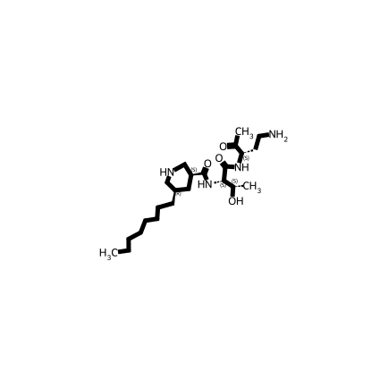 CCCCCCCC[C@H]1CNC[C@@H](C(=O)N[C@H](C(=O)N[C@@H](CCN)C(C)=O)[C@H](C)O)C1